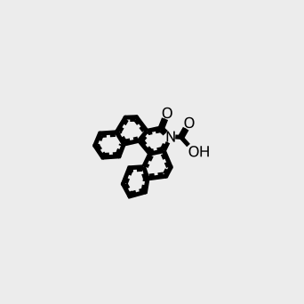 O=C(O)n1c(=O)c2ccc3ccccc3c2c2c3ccccc3ccc21